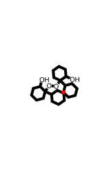 OC1CCCCC1(OOC1(C2CCCCC2)CCCCC1O)C1CCCCC1